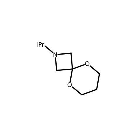 CC(C)N1CC2(C1)OCCCO2